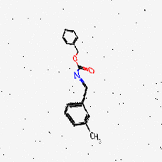 Cc1cccc(/C=N/C(=O)OCc2ccccc2)c1